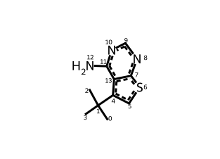 CC(C)(C)c1csc2ncnc(N)c12